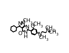 COc1cc(N(C)CCN(C)C)ccc1-c1nc2c(c(C3CCCCC3)nn2C)c(=O)[nH]1